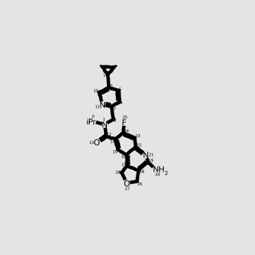 CC(C)N(Cc1ccc(C2CC2)cn1)C(=O)c1cc2c3c(c(N)nc2cc1F)COC3